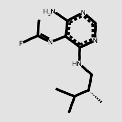 C/C(F)=N\c1c(N)ncnc1NC[C@H](C)C(C)C